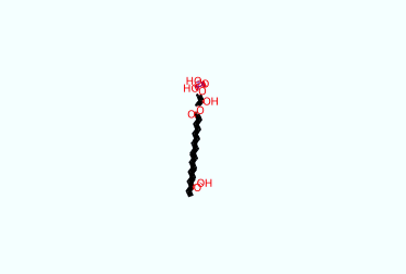 CCC(C=CC=CCC=CCCCCCCCC(=O)OCC(O)COP(=O)(O)O)OO